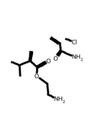 C=C(C(=O)OCCN)C(C)C.C=CC(N)=O.CCl